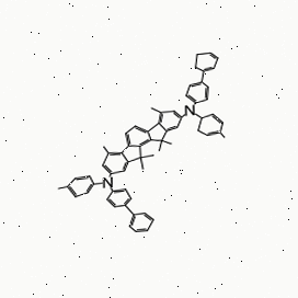 CC1=CCC(N(c2ccc(C3=CC=CCC3)cc2)c2cc(C)c3c(c2)C(C)(C)c2c-3ccc3c2C(C)(C)c2cc(N(c4ccc(C)cc4)c4ccc(-c5ccccc5)cc4)cc(C)c2-3)C=C1